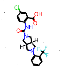 O=C(O)c1cc(Cl)ccc1NC(=O)N1C[C@@H]2CN(c3ccccc3C(F)(F)F)C[C@@H]2C1